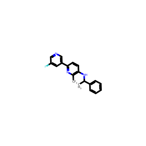 CC(Nc1ccc(-c2cncc(F)c2)nc1C(F)(F)F)c1ccccc1